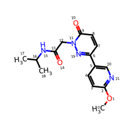 COc1ccc(-c2ccc(=O)n(CC(=O)NC(C)C)n2)cn1